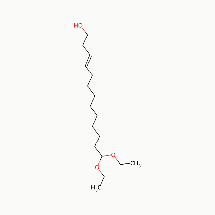 CCOC(CCCCCCCC/C=C/CCO)OCC